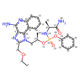 CCOCc1nc2c(N)nc3ccccc3c2n1C[C@@H](C)OP(=O)(N[C@@H](C)C(N)=O)Oc1ccccc1